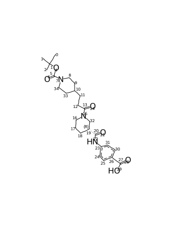 CC(C)(C)OC(=O)N1CCC(CCC(=O)N2CCC[C@@H](C(=O)Nc3ccc(C(=O)O)cc3)C2)CC1